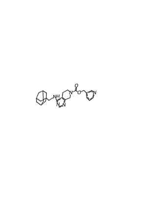 O=C(OCc1cccnc1)N1CCc2c(ncnc2NCC23CC4CC(CC(C4)C2)C3)C1